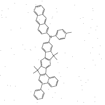 Cc1ccc(N(c2ccc3c(c2)C(C)(C)c2cc4c(cc2-3)C(C)(C)c2cc(-c3ccccc3)c3ccccc3c2-4)c2ccc3cc4ccccc4cc3c2)cc1